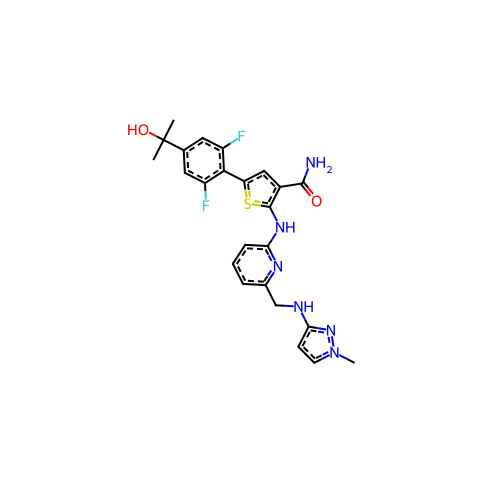 Cn1ccc(NCc2cccc(Nc3sc(-c4c(F)cc(C(C)(C)O)cc4F)cc3C(N)=O)n2)n1